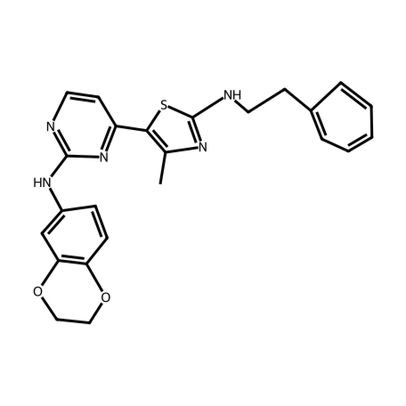 Cc1nc(NCCc2ccccc2)sc1-c1ccnc(Nc2ccc3c(c2)OCCO3)n1